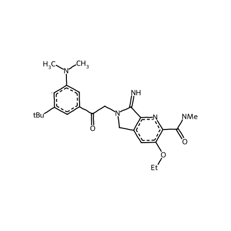 CCOc1cc2c(nc1C(=O)NC)C(=N)N(CC(=O)c1cc(N(C)C)[c]c(C(C)(C)C)c1)C2